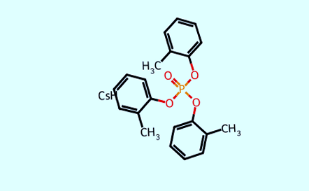 Cc1ccccc1OP(=O)(Oc1ccccc1C)Oc1ccccc1C.[CsH]